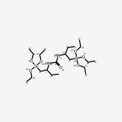 CCO[Si](CC(CC)NC(=O)NC(CC)C[Si](OCC)(OCC)OCC)(OCC)OCC